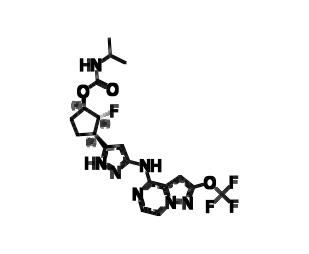 CC(C)NC(=O)O[C@@H]1CC[C@H](c2cc(Nc3nccn4nc(OC(F)(F)F)cc34)n[nH]2)[C@H]1F